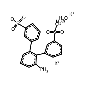 O.O.O=S(=O)([O-])c1cccc(-c2cccc(P)c2-c2cccc(S(=O)(=O)[O-])c2)c1.[K+].[K+]